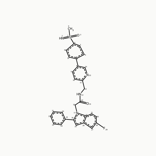 CS(=N)(=O)c1ccc(-c2ccc(CNC(=O)Cn3c(-c4ccccc4)cc4cc(F)ccc43)nc2)cc1